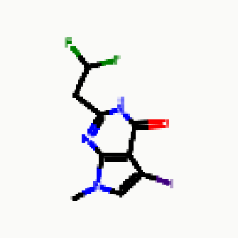 Cn1cc(I)c2c(=O)[nH]c(CC(F)F)nc21